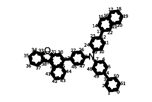 c1ccc(-c2ccc(N(c3ccc(-c4ccc5ccccc5c4)cc3)c3ccc(-c4cc5oc6ccccc6c5c5ccccc45)cc3)cc2)cc1